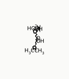 [2H]C([2H])([2H])Oc1cc(/C=C/C(=O)/C=C(O)/C=C/c2ccc(C)c(C)c2)ccc1O